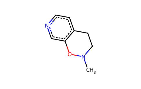 CN1CCc2ccncc2O1